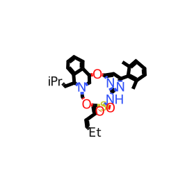 CC/C=C\C=C1/OCN2CC(Oc3cc(-c4c(C)cccc4C)nc(n3)NS1(=O)=O)c1ccccc1C2CC(C)C